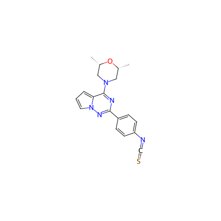 C[C@@H]1CN(c2nc(-c3ccc(N=C=S)cc3)nn3cccc23)C[C@H](C)O1